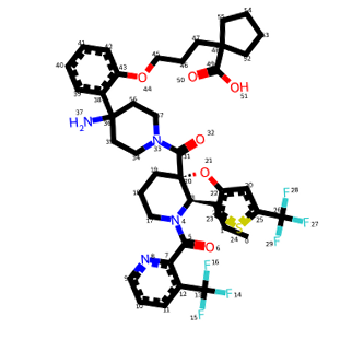 CCC[C@H]1N(C(=O)c2ncccc2C(F)(F)F)CCC[C@@]1(Oc1csc(C(F)(F)F)c1)C(=O)N1CCC(N)(c2ccccc2OCCCC2(C(=O)O)CCCC2)CC1